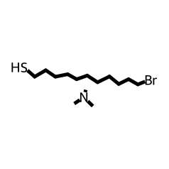 CN(C)C.SCCCCCCCCCCCBr